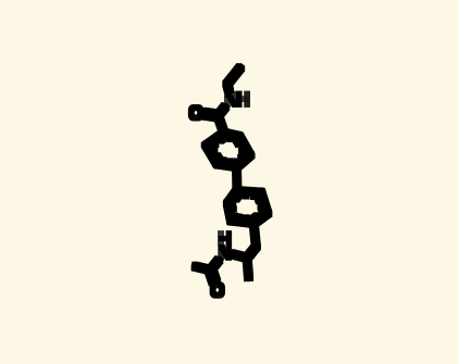 CCNC(=O)c1ccc(-c2ccc(CC(C)NC(C)=O)cc2)cc1